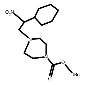 CC(C)(C)OC(=O)N1CCN(CC(C2CCCCC2)[N+](=O)[O-])CC1